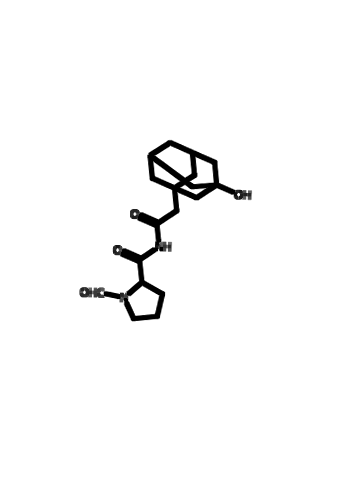 O=CN1CCCC1C(=O)NC(=O)CC12CC3CC(CC(O)(C3)C1)C2